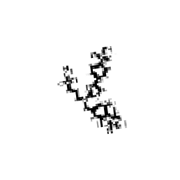 CS(=O)(=O)CCCN(Cc1ccc(C(F)(F)P(=O)(O)O)c(Br)c1)c1nc(-c2ccc(S(C)(=O)=O)cc2)cs1